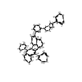 c1ccc(-c2cn3cc(-c4cccc(-c5ccc6c7c(cccc57)-c5c-6c(-c6ccccc6)c6ccccc6c5-c5ccccc5)n4)ccc3n2)cc1